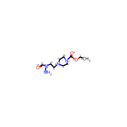 CCOC(=O)N1CCN(CCN(N)[C]=O)CC1